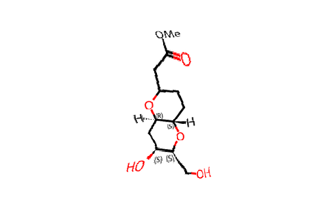 COC(=O)CC1CC[C@@H]2O[C@@H](CO)[C@@H](O)C[C@H]2O1